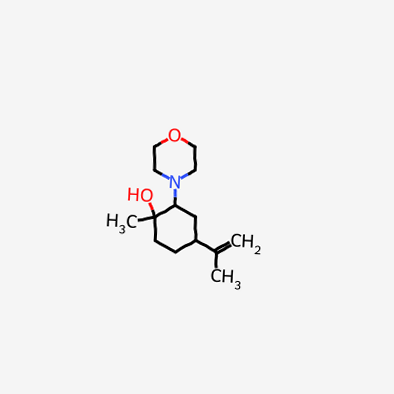 C=C(C)C1CCC(C)(O)C(N2CCOCC2)C1